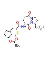 CC(C)(C)C(=O)OCS[C@H](Cc1ccccc1)C(=O)NC1CCC(=O)N2CC[C@@H](C(=O)O)N2C1=O